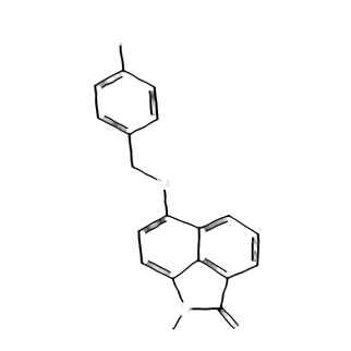 CCN1C(=O)c2cccc3c(NCc4ccc(Cl)cc4)ccc1c23